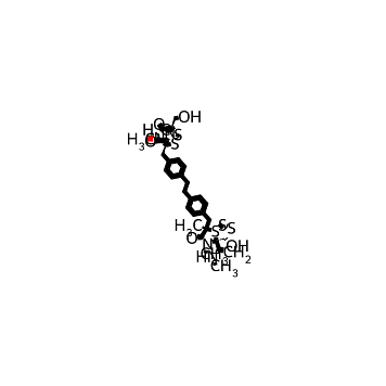 C=C(NC)[C@@]1(CO)N(C)C(=O)[C@](C)(Cc2ccc(CCc3ccc(C[C@@]45SS[C@@](CO)(C(=O)N4C)N(C)C5=O)cc3)cc2)S1=S=S